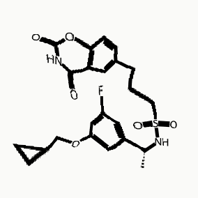 C[C@@H](NS(=O)(=O)CCCc1ccc2oc(=O)[nH]c(=O)c2c1)c1cc(F)cc(OCC2CC2)c1